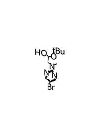 CN(CC(O)OC(C)(C)C)c1ncc(Br)cn1